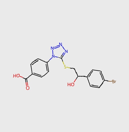 O=C(O)c1ccc(-n2nnnc2SCC(O)c2ccc(Br)cc2)cc1